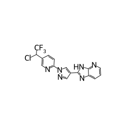 FC(F)(F)C(Cl)c1ccc(-n2cc(-c3nc4cccnc4[nH]3)cn2)nc1